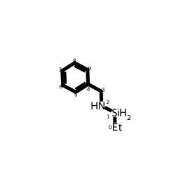 CC[SiH2]NCc1ccccc1